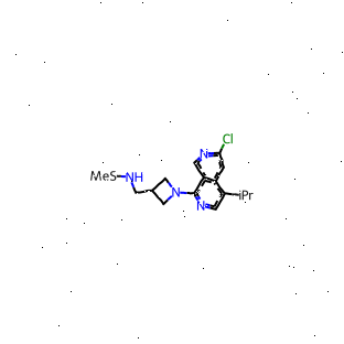 CSNCC1CN(c2ncc(C(C)C)c3cc(Cl)ncc23)C1